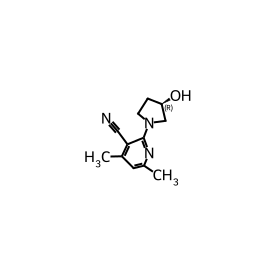 Cc1cc(C)c(C#N)c(N2CC[C@@H](O)C2)n1